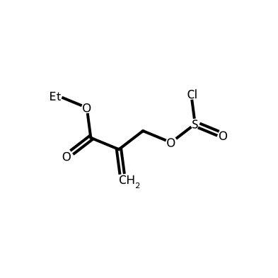 C=C(COS(=O)Cl)C(=O)OCC